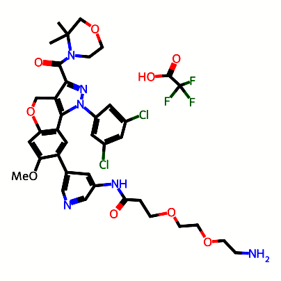 COc1cc2c(cc1-c1cncc(NC(=O)CCOCCOCCN)c1)-c1c(c(C(=O)N3CCOCC3(C)C)nn1-c1cc(Cl)cc(Cl)c1)CO2.O=C(O)C(F)(F)F